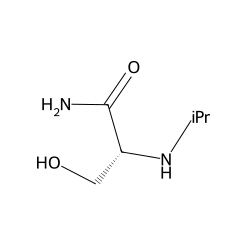 CC(C)N[C@H](CO)C(N)=O